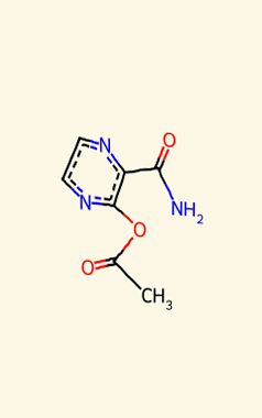 CC(=O)Oc1nccnc1C(N)=O